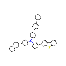 c1ccc(-c2ccc(-c3ccc(N(c4ccc(-c5ccc6ccccc6c5)cc4)c4cccc(-c5ccc6c(c5)sc5ccccc56)c4)cc3)cc2)cc1